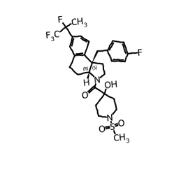 CC(F)(c1ccc2c(c1)CC[C@H]1N(C(=O)C3(O)CCN(S(C)(=O)=O)CC3)CC[C@@]21Cc1ccc(F)cc1)C(F)(F)F